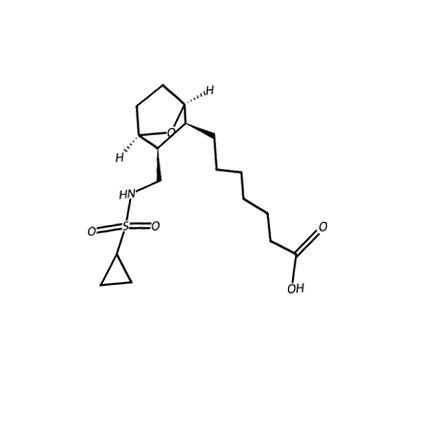 O=C(O)CCCCCC[C@H]1[C@@H](CNS(=O)(=O)C2CC2)[C@H]2CC[C@@H]1O2